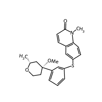 CO[C@]1(c2cccc(Sc3ccc4c(ccc(=O)n4C)c3)c2)CCO[C@H](C)C1